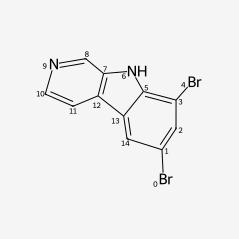 Brc1cc(Br)c2[nH]c3cnccc3c2c1